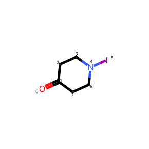 O=C1CCN(I)CC1